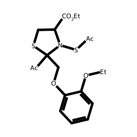 CCOC(=O)C1CSC(COc2ccccc2OCC)(C(C)=O)N1SC(C)=O